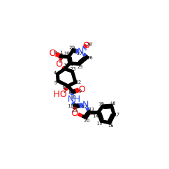 O=C1OC2(CCC(O)(C(=O)Nc3nc(-c4ccccc4)co3)CC2)c2cc[n+]([O-])cc21